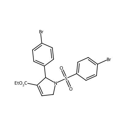 CCOC(=O)C1=CCN(S(=O)(=O)c2ccc(Br)cc2)C1c1ccc(Br)cc1